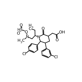 CCC(CN(C)O[SH](=O)=O)N1C(=O)C(CC(=O)O)CC(c2cccc(Cl)c2)C1c1ccc(Cl)cc1